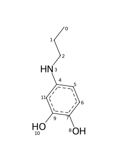 CCCNc1ccc(O)c(O)c1